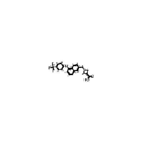 O=C(O)C1CN(Cc2ccc3c(O[C@H]4CC[C@H](C(F)(F)F)CC4)cccc3c2)C1